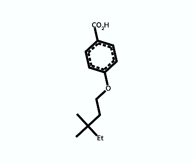 CCC(C)(C)CCOc1ccc(C(=O)O)cc1